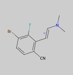 CN(C)/C=C/c1c(C#N)ccc(Br)c1F